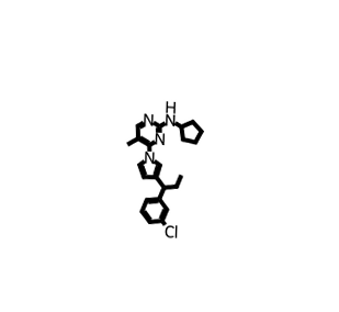 CCC(c1cccc(Cl)c1)c1ccn(-c2nc(NC3CCCC3)ncc2C)c1